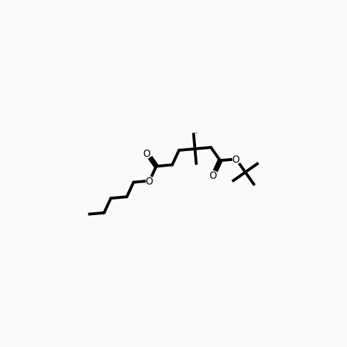 [CH2]C(C)(CCC(=O)OCCCCC)CC(=O)OC(C)(C)C